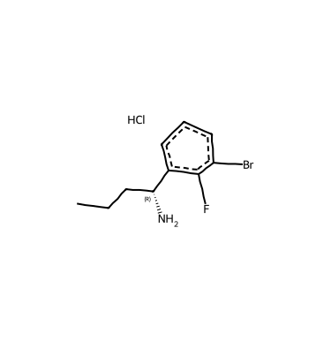 CCC[C@@H](N)c1cccc(Br)c1F.Cl